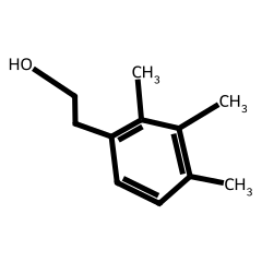 Cc1ccc(CCO)c(C)c1C